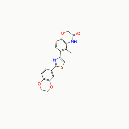 Cc1c(-c2csc(-c3ccc4c(c3)OCCO4)n2)ccc2c1NC(=O)CO2